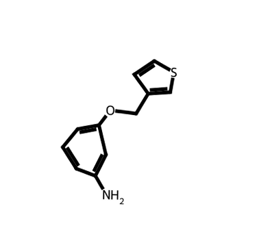 Nc1cccc(OCc2ccsc2)c1